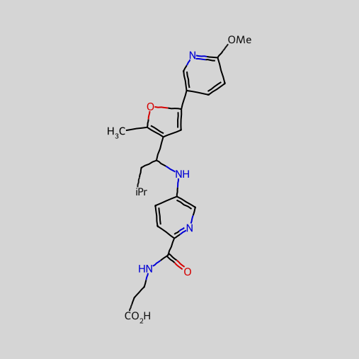 COc1ccc(-c2cc(C(CC(C)C)Nc3ccc(C(=O)NCCC(=O)O)nc3)c(C)o2)cn1